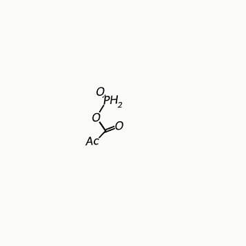 CC(=O)C(=O)O[PH2]=O